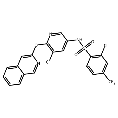 O=S(=O)(Nc1cnc(Oc2cc3ccccc3cn2)c(Cl)c1)c1ccc(C(F)(F)F)cc1Cl